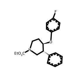 CCOC(=O)N1CC[C@@H](Oc2ccc(F)cc2)[C@H](c2ccccc2)C1